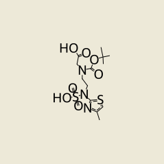 Cc1csc(N(CCN(CC(=O)O)C(=O)OC(C)(C)C)S(=O)(=O)O)n1